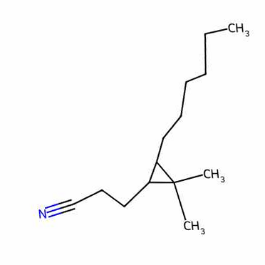 CCCCCCC1C(CCC#N)C1(C)C